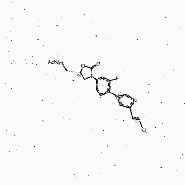 CC(=O)NC[C@H]1CN(c2ccc(-n3cnc(/C=C/Cl)c3)c(F)c2)C(=O)O1